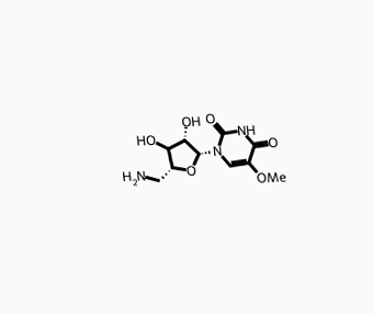 COc1cn([C@@H]2O[C@H](CN)C(O)[C@@H]2O)c(=O)[nH]c1=O